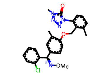 CO/N=C(\c1ccc(OCc2c(C)cccc2-n2nnn(C)c2=O)c(C)c1)c1ccccc1Cl